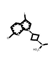 CN(C(=O)O)[C@H]1C[C@@H](n2cc(I)c3ccc(Cl)nc32)C1